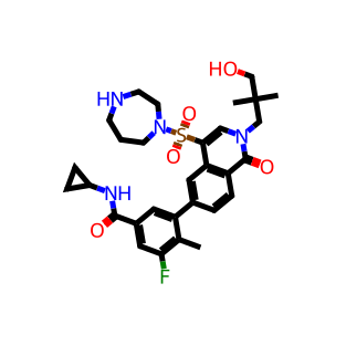 Cc1c(F)cc(C(=O)NC2CC2)cc1-c1ccc2c(=O)n(CC(C)(C)CO)cc(S(=O)(=O)N3CCCNCC3)c2c1